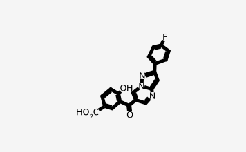 O=C(O)c1ccc(O)c(C(=O)c2cnc3cc(-c4ccc(F)cc4)nn3c2)c1